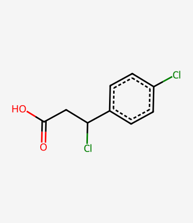 O=C(O)CC(Cl)c1ccc(Cl)cc1